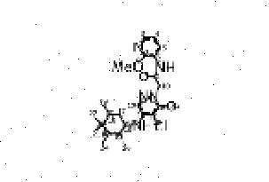 COc1ncccc1NC(=O)Cn1ncc(N[C@@H]2C[C@H](C)C(C)(C)[C@H](C)[C@H]2C)c(Cl)c1=O